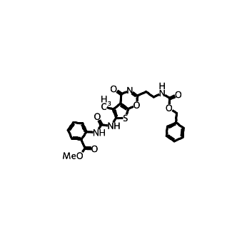 COC(=O)c1ccccc1NC(=O)Nc1sc2oc(CCNC(=O)OCc3ccccc3)nc(=O)c2c1C